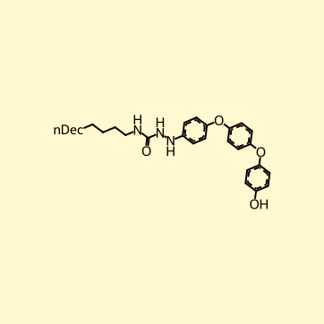 CCCCCCCCCCCCCCNC(=O)NNc1ccc(Oc2ccc(Oc3ccc(O)cc3)cc2)cc1